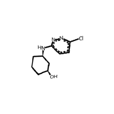 O[C@H]1CCC[C@@H](Nc2ccc(Cl)nn2)C1